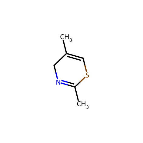 CC1=CSC(C)=NC1